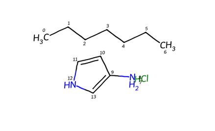 CCCCCCC.Cl.Nc1cc[nH]c1